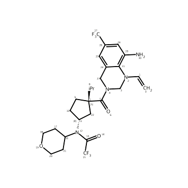 C=CN1CN(C(=O)[C@@]2(C(C)C)CC[C@@H](N(C(=O)C(F)(F)F)C3CCOCC3)C2)Cc2cc(C(F)(F)F)cc(N)c21